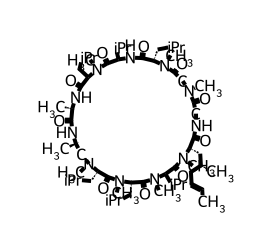 C/C=C/C[C@@H](C)C[C@H]1C(=O)NCC(=O)N(C)CC(=O)N(C)[C@@H](CC(C)C)C(=O)NC(C(C)C)C(=O)N(C)C(CC(C)C)C(=O)N[C@@H](C)C(=O)N[C@H](C)CN(C)[C@@H](CC(C)C)C(=O)N(C)[C@@H](CC(C)C)C(=O)N(C)C(C(C)C)C(=O)N1C